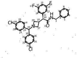 O=C(NCc1ccccc1)[C@H](c1cc(F)cc(F)c1)C1CN(C(c2ccc(Cl)cc2)c2ccc(Cl)cc2)C1